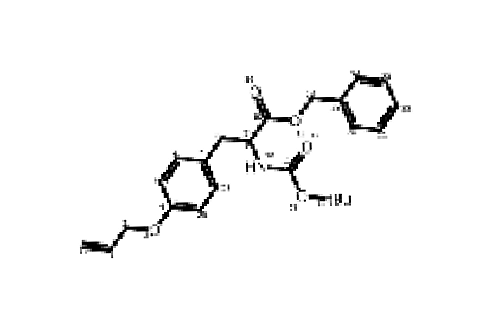 C=CCOc1ccc(C[C@H](NC(=O)OC(C)(C)C)C(=O)OCc2ccccc2)cc1